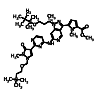 COC(=O)c1ccc(-c2nn([C@@H](C)CCO[Si](C)(C)C(C)(C)C)c3cc(Nc4ccnc(-c5cn(COCC[Si](C)(C)C)n(C)c5=O)n4)ncc23)n1C